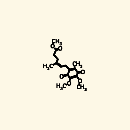 COC(=O)CCC(C)=CCC1=C(C)C(=O)C(OC)=C(OC)C1=O